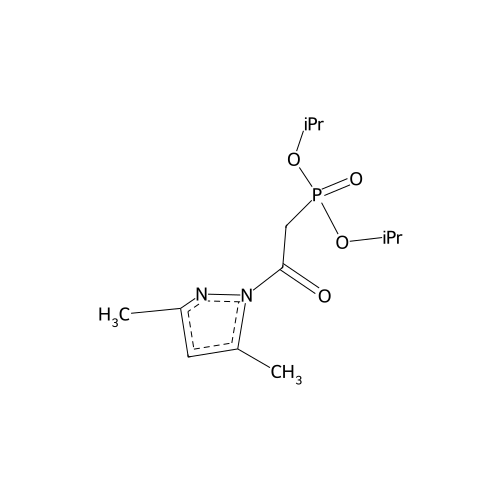 Cc1cc(C)n(C(=O)CP(=O)(OC(C)C)OC(C)C)n1